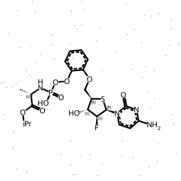 CC(C)OC(=O)[C@H](C)NP(=O)(O)OOc1ccccc1OC[C@H]1S[C@@H](n2ccc(N)nc2=O)[C@@H](F)[C@@H]1O